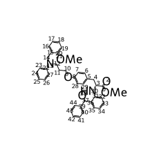 COC(=O)C(Cc1ccc(OCCCN(Cc2ccccc2OC)c2ccccc2)cc1)Nc1ccccc1C(=O)c1ccccc1